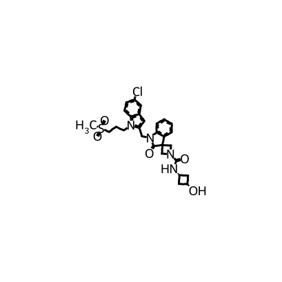 CS(=O)(=O)CCCn1c(CN2C(=O)C3(CN(C(=O)N[C@H]4C[C@H](O)C4)C3)c3ccccc32)cc2cc(Cl)ccc21